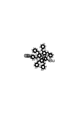 CCC(C)C1=C[C]([Ti+3])([Si](c2cc(Cc3ccccc3)cc(Cc3ccccc3)c2)(c2cc(Cc3ccccc3)cc(Cc3ccccc3)c2)c2cc(Cc3ccccc3)cc(Cc3ccccc3)c2)C=C1.[Cl-].[Cl-].[Cl-]